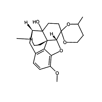 COc1ccc2c3c1O[C@H]1C4(CCC5(O)[C@@H](C2)N(C)CC[C@]315)OCCC(C)O4